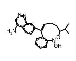 CC(C)C1CCC=C(c2ccc3c(N)cnnc3c2)c2ccccc2N(O)O1